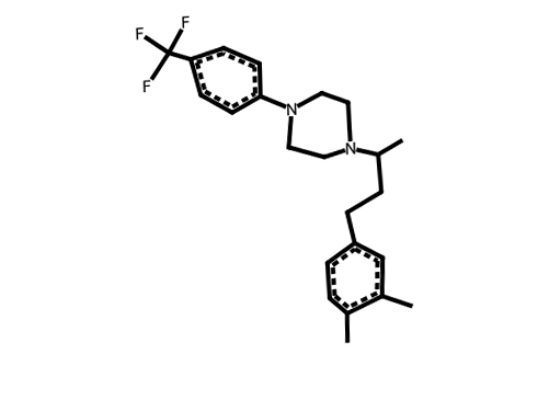 Cc1ccc(CCC(C)N2CCN(c3ccc(C(F)(F)F)cc3)CC2)cc1C